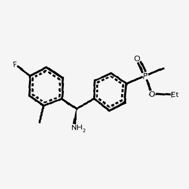 CCOP(C)(=O)c1ccc([C@@H](N)c2ccc(F)cc2C)cc1